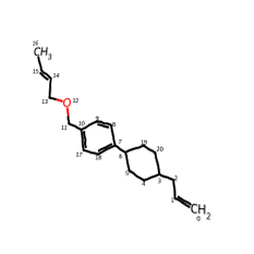 C=CCC1CCC(c2ccc(COCC=CC)cc2)CC1